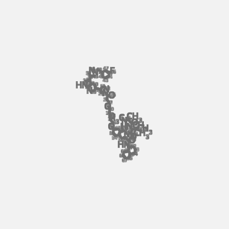 CN[C@H](C)C(=O)N[C@@H](C(=O)N1Cc2cc(OCCOCCOCCC(=O)n3cc(-c4cnc5[nH]cc(-c6cnn(Cc7cccc(F)c7)c6)c5c4)cn3)ccc2C[C@@H]1C(=O)N[C@H]1CCCc2ccccc21)C(C)(C)C